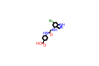 O=C(CNc1cc(Br)cc2[nH]ncc12)Nc1ccc(C(=O)O)cc1